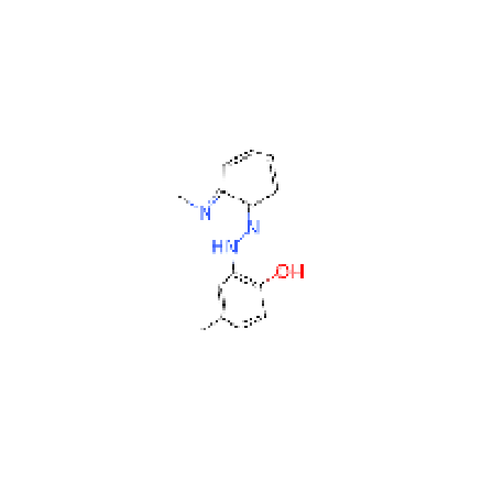 C/N=C1\C=CC=C\C1=N\Nc1cc(C)ccc1O